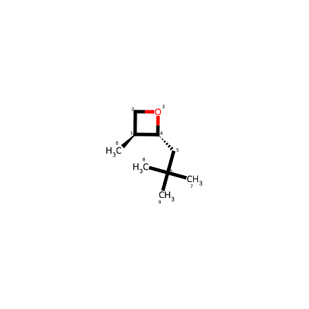 C[C@H]1CO[C@@H]1CC(C)(C)C